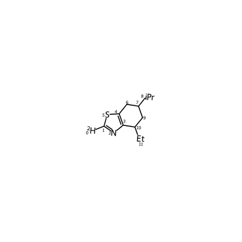 [2H]c1nc2c(s1)CC(C(C)C)CC2CC